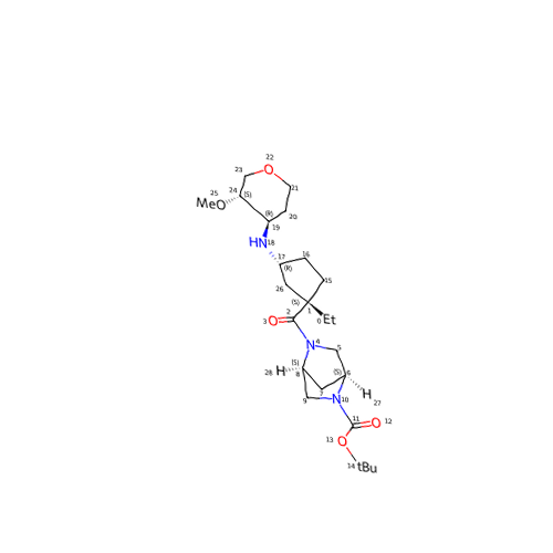 CC[C@]1(C(=O)N2C[C@@H]3C[C@H]2CN3C(=O)OC(C)(C)C)CC[C@@H](N[C@@H]2CCOC[C@H]2OC)C1